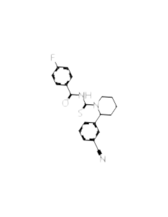 N#Cc1cccc(C2CCCCN2C(=S)NC(=O)c2ccc(F)cc2)c1